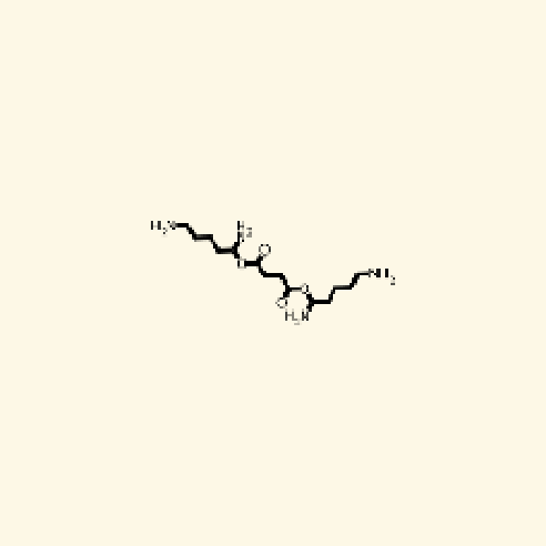 NCCCCC(N)OC(=O)CCC(=O)OC(N)CCCCN